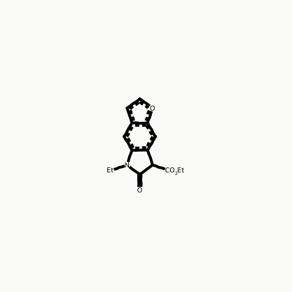 CCOC(=O)C1C(=O)N(CC)c2cc3ccoc3cc21